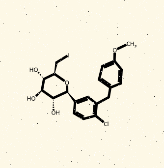 COc1ccc(Cc2cc([C@@H]3O[C@H](CI)[C@@H](O)[C@H](O)[C@H]3O)ccc2Cl)cc1